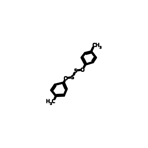 Cc1ccc(OSSOc2ccc(C)cc2)cc1